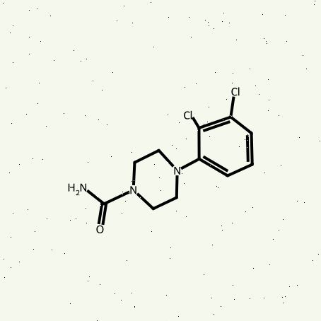 NC(=O)N1CCN(c2cccc(Cl)c2Cl)CC1